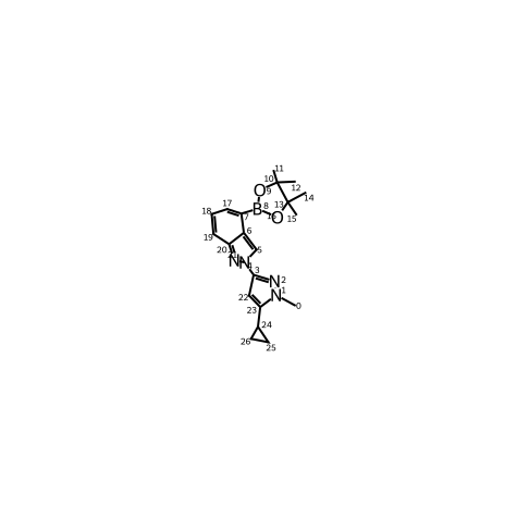 Cn1nc(-n2cc3c(B4OC(C)(C)C(C)(C)O4)cccc3n2)cc1C1CC1